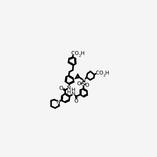 O=C(O)c1ccc(CCc2ccc(NC(=O)c3cc(N4CCCCC4)ccc3NC(=O)c3cccc(S(=O)(=O)N(C4CCC(C(=O)O)CC4)C4CC4)c3)cc2)cc1